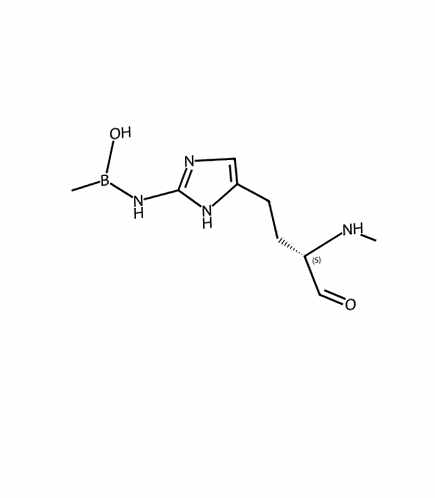 CN[C@H](C=O)CCc1cnc(NB(C)O)[nH]1